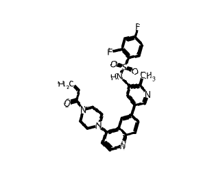 C=CC(=O)N1CCN(c2ccnc3ccc(-c4cnc(C)c(NS(=O)(=O)c5ccc(F)cc5F)c4)cc23)CC1